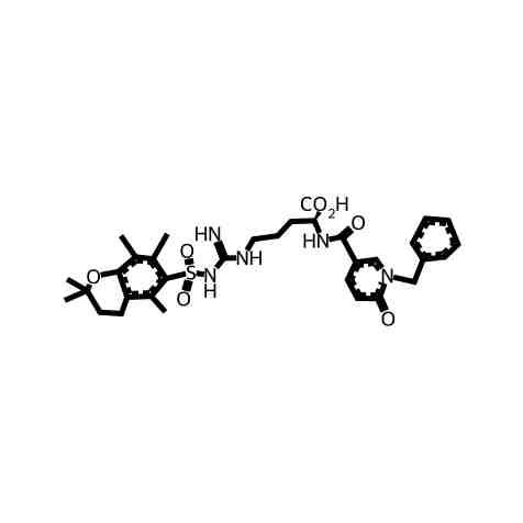 Cc1c(C)c(S(=O)(=O)NC(=N)NCCC[C@H](NC(=O)c2ccc(=O)n(Cc3ccccc3)c2)C(=O)O)c(C)c2c1OC(C)(C)CC2